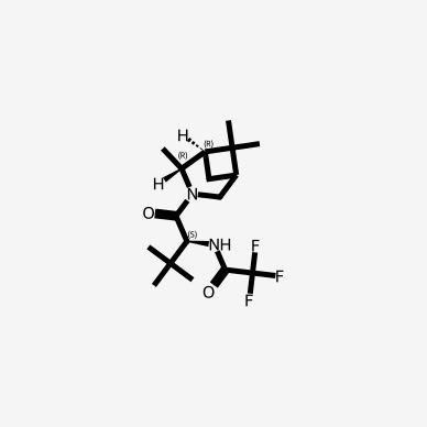 C[C@@H]1[C@@H]2CC(CN1C(=O)[C@@H](NC(=O)C(F)(F)F)C(C)(C)C)C2(C)C